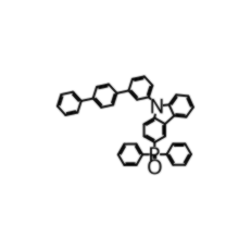 O=P(c1ccccc1)(c1ccccc1)c1ccc2c(c1)c1ccccc1n2-c1cccc(-c2ccc(-c3ccccc3)cc2)c1